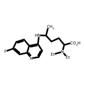 CCN(CC)C(CCC(C)Nc1ccnc2cc(F)ccc12)C(=O)O